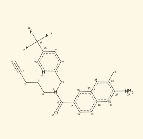 C#CCCCN(Cc1ccc(C(F)(F)F)cn1)C(=O)c1ccc2nc(N)c(C)cc2c1